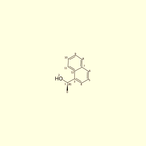 C[C@@H](O)c1cccc2ccccc12